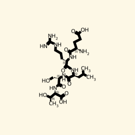 CC(C)C[C@H](NC(=O)[C@H](CCCNC(=N)N)NC(=O)[C@@H](N)CCC(=O)O)C(=O)N[C@@H](CO)C(=O)N[C@H](C(=O)O)[C@@H](C)O